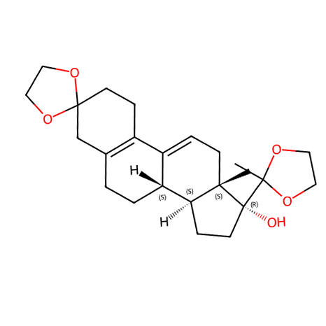 CC1([C@@]2(O)CC[C@H]3[C@@H]4CCC5=C(CCC6(C5)OCCO6)C4=CC[C@@]32C)OCCO1